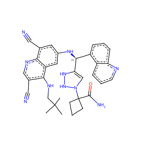 CC(C)(C)CNc1c(C#N)cnc2c(C#N)cc(N[C@H](C3=CN(C4(C(N)=O)CCC4)NN3)c3cccc4ncccc34)cc12